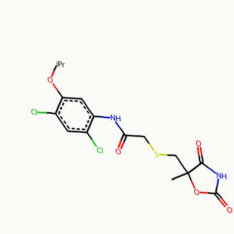 CC(C)Oc1cc(NC(=O)CSCC2(C)OC(=O)NC2=O)c(Cl)cc1Cl